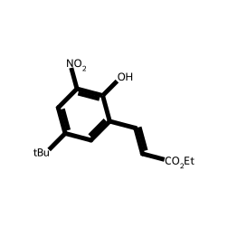 CCOC(=O)C=Cc1cc(C(C)(C)C)cc([N+](=O)[O-])c1O